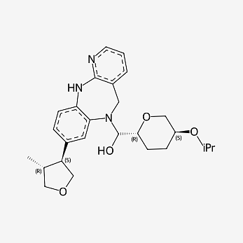 CC(C)O[C@H]1CC[C@H](C(O)N2Cc3cccnc3Nc3ccc([C@H]4COC[C@@H]4C)cc32)OC1